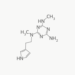 CNc1nc(N)nc(N(C)CCc2cc[nH]c2)n1